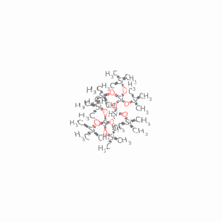 C[Si](C)(C)O[SiH](O[Si](O[Si](C)(C)C)(O[Si](C)(C)C)O[Si](C)(C)C)O[Si](O[Si](C)(C)C)(O[Si](C)(C)C)O[Si](C)(C)C